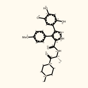 COc1ccc(-c2c(-c3cc(Cl)c(O)cc3O)n[nH]c2C(=O)N[C@H](C)C(=O)N2CCN(C)CC2)cc1